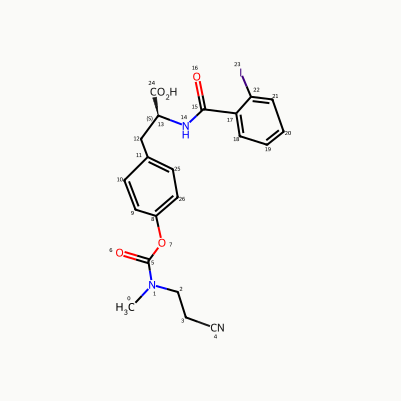 CN(CCC#N)C(=O)Oc1ccc(C[C@H](NC(=O)c2ccccc2I)C(=O)O)cc1